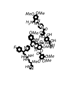 CC(C)NCC(O)c1ccc(O)c(O)c1.COC(=O)[C@H]1[C@H]2C[C@@H]3c4[nH]c5cc(OC)ccc5c4CCN3C[C@H]2C[C@@H](OC(=O)c2cc(OC)c(OC)c(OC)c2)[C@@H]1OC.COc1cc2nc(N3CCN(C(=O)c4ccco4)CC3)nc(N)c2cc1OC.N=C(NCCCc1cnc[nH]1)NCCC(c1ccc(F)cc1)c1ccccn1